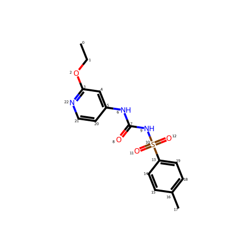 CCOc1cc(NC(=O)NS(=O)(=O)c2ccc(C)cc2)ccn1